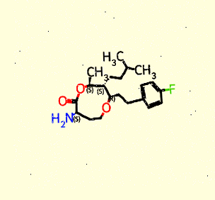 CC(C)CC[C@H]1[C@H](C)OC(=O)[C@@H](N)CCO[C@@H]1CCc1ccc(F)cc1